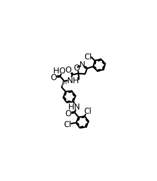 CC1(C(=O)N[C@@H](Cc2ccc(NC(=O)c3c(Cl)cccc3Cl)cc2)C(=O)O)CC(c2ccccc2Cl)=NO1